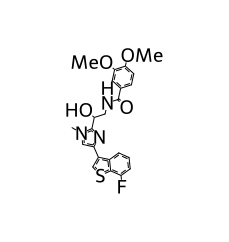 COc1ccc(C(=O)NCC(O)c2nc(-c3csc4c(F)cccc34)cn2C)cc1OC